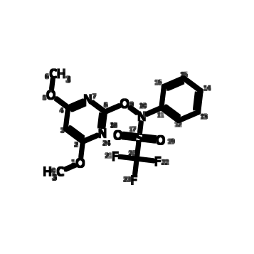 COc1cc(OC)nc(ON(c2ccccc2)S(=O)(=O)C(F)(F)F)n1